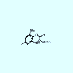 CCCCCCCCCOC(=O)Oc1c(C(C)(C)C)cc(C)cc1C(C)(C)C